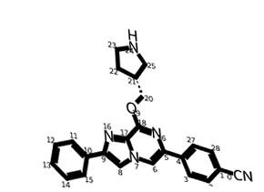 N#Cc1ccc(-c2cn3cc(-c4ccccc4)nc3c(OC[C@@H]3CCNC3)n2)cc1